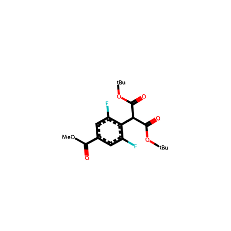 COC(=O)c1cc(F)c(C(C(=O)OC(C)(C)C)C(=O)OC(C)(C)C)c(F)c1